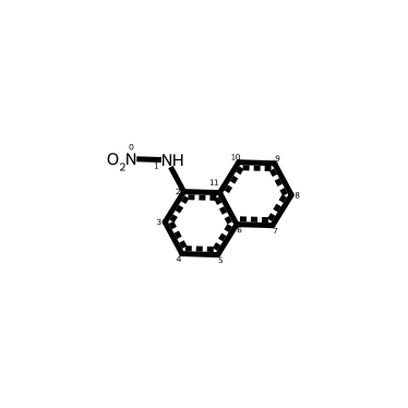 O=[N+]([O-])Nc1cccc2ccccc12